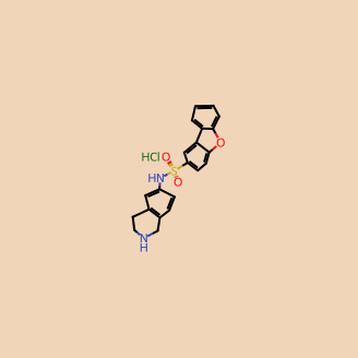 Cl.O=S(=O)(Nc1ccc2c(c1)CCNC2)c1ccc2oc3ccccc3c2c1